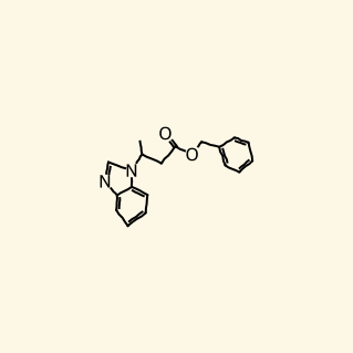 CC(CC(=O)OCc1ccccc1)n1cnc2ccccc21